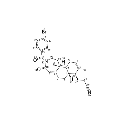 CC1=CC[C@H]2[C@@H](CCC3=CC(=O)N(C(=O)c4ccc(Br)cc4)CC[C@@]32C)[C@@H]1CCC#N